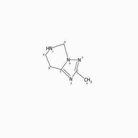 Cc1nc2n(n1)CNCC2